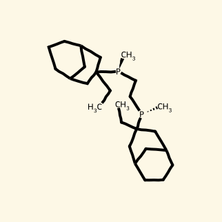 CCC1([P@@](C)CC[P@](C)C2(CC)CC3CCCC(C3)C2)CC2CCCC(C2)C1